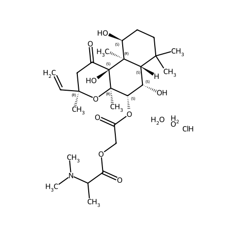 C=C[C@@]1(C)CC(=O)[C@]2(O)[C@@]3(C)[C@@H](O)CCC(C)(C)[C@@H]3[C@H](O)[C@H](OC(=O)COC(=O)C(C)N(C)C)[C@@]2(C)O1.Cl.O.O